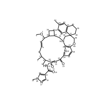 COC1/C=C/CC(C)C(C)S(=O)(NC(=O)c2cnn(C)c2)=NC(=O)c2ccc3c(n2)N(CC2CCC21)CC1(CCCc2cc(C)ccc21)CO3